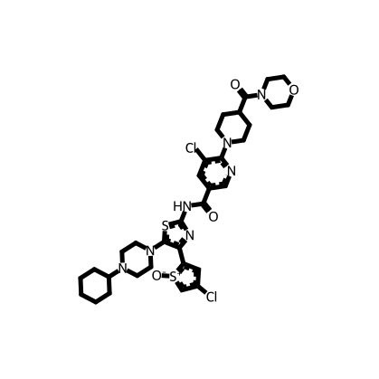 O=C(Nc1nc(-c2cc(Cl)c[s+]2[O-])c(N2CCN(C3CCCCC3)CC2)s1)c1cnc(N2CCC(C(=O)N3CCOCC3)CC2)c(Cl)c1